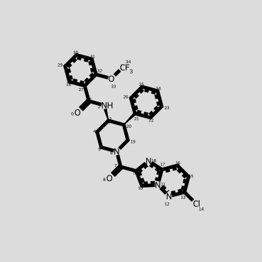 O=C(N[C@@H]1CCN(C(=O)c2cn3nc(Cl)ccc3n2)C[C@@H]1c1ccccc1)c1ccccc1OC(F)(F)F